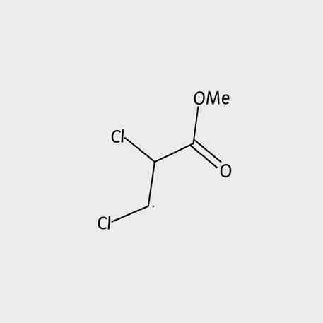 COC(=O)C(Cl)[CH]Cl